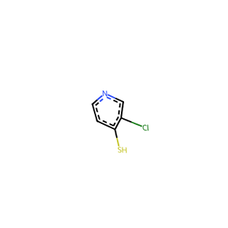 Sc1ccncc1Cl